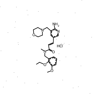 CCOc1c(CN(C)C(=O)C=Cc2cnc(N)c(CN3CCOCC3)c2)cccc1OC.Cl